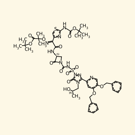 C[C@@H](O)Cn1c(-c2cc(OCc3ccccc3)c(OCc3ccccc3)cn2)nn(S(=O)(=O)NC(=O)N2C[C@H](NC(=O)C(=NOC(C)(C)C(=O)OC(C)(C)C)c3csc(NC(=O)OC(C)(C)C)n3)C2=O)c1=O